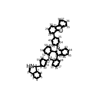 C1=Cc2ccccc2C(c2ccc(N3c4ccccc4-c4c(n(-c5ccc(-c6cccc7c6oc6ccccc67)cc5)c5ccccc45)-c4ccccc43)cc2)N1